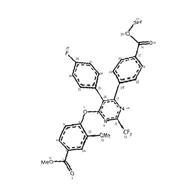 COC(=O)c1ccc(Oc2nc(C(F)(F)F)nc(-c3ccc(C(=O)OS)cc3)c2-c2ccc(F)cc2)c(OC)c1